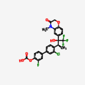 C[C@@H](c1ccc(-c2ccc(OC(=O)O)c(F)c2)cc1Cl)[C@](O)(c1ccc2c(c1)N(C)C(=O)CO2)C(F)(F)F